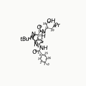 Cc1ccc(C(=O)Nc2nc3c(s2)c(C(=O)N[C@@H](CO)CC(C)C)nn3C(C)(C)C)cc1